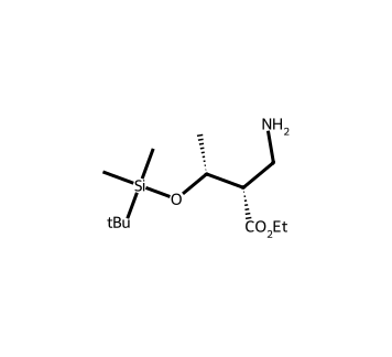 CCOC(=O)[C@@H](CN)[C@@H](C)O[Si](C)(C)C(C)(C)C